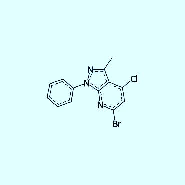 Cc1nn(-c2ccccc2)c2nc(Br)cc(Cl)c12